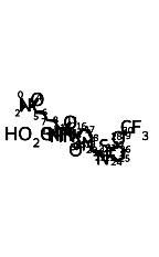 CN(C)C(=O)/C=C/CCC(NC(=O)O)C(=O)Nc1cccn(Cc2nc3cccc(OCC(F)(F)F)c3s2)c1=O